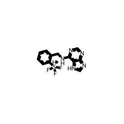 C[SH](F)(F)(F)c1ccccc1CNc1ncnc2nc[nH]c12